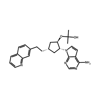 CC(C)(O)O[C@@H]1C[C@@H](CCc2ccc3cccnc3c2)C[C@H]1n1ccc2c(N)ncnc21